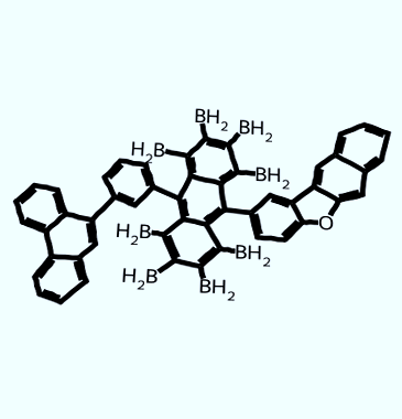 Bc1c(B)c(B)c2c(-c3ccc4oc5cc6ccccc6cc5c4c3)c3c(B)c(B)c(B)c(B)c3c(-c3cccc(-c4cc5ccccc5c5ccccc45)c3)c2c1B